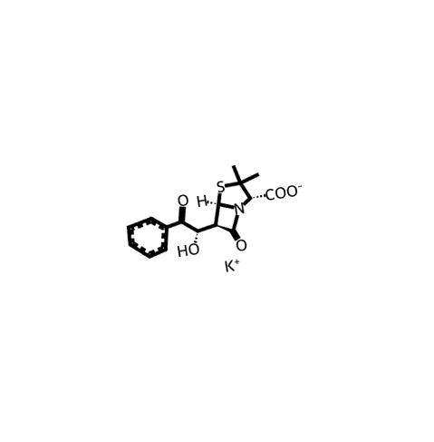 CC1(C)S[C@@H]2[C@H]([C@H](O)C(=O)c3ccccc3)C(=O)N2[C@H]1C(=O)[O-].[K+]